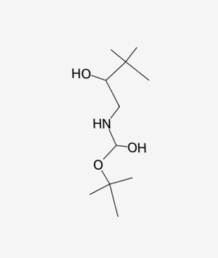 CC(C)(C)OC(O)NCC(O)C(C)(C)C